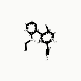 CCOc1ncccc1-c1nc(C#N)ncc1C